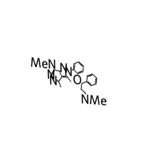 CNCCC(Oc1ccccc1-n1nc2c(NC)nnc(C)c2c1C)c1ccccc1